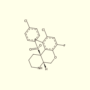 O=S(=O)(c1ccc(Cl)cc1)[C@]12CCCN[C@H]1COc1c(F)cc(Cl)c(F)c12